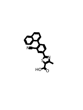 Cc1nc(-c2ccc(-c3cccc4ccccc34)c(C#N)c2)sc1C(=O)O